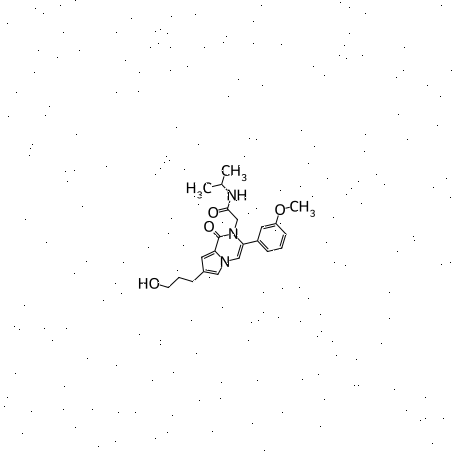 COc1cccc(-c2cn3cc(CCCO)cc3c(=O)n2CC(=O)NC(C)C)c1